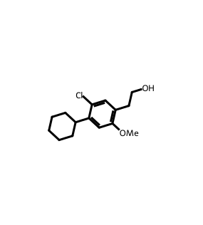 COc1cc(C2CCCCC2)c(Cl)cc1CCO